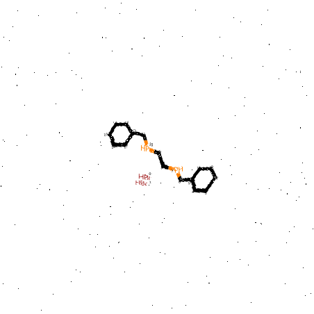 Br.Br.C1CCC(CPCCPCC2CCCCC2)CC1